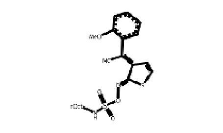 CCCCCCCCNS(=O)(=O)O/N=C1\SC=C\C1=C(\C#N)c1ccccc1OC